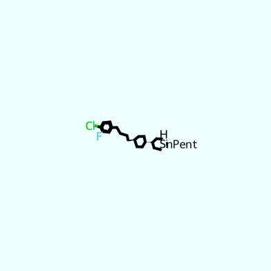 CCCCC[SiH]1CCC([C@H]2CC[C@H](CCCCc3ccc(Cl)c(F)c3)CC2)CC1